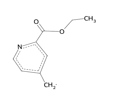 [CH2]c1ccnc(C(=O)OCC)c1